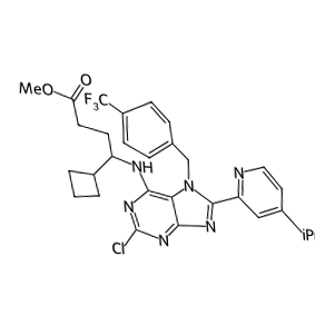 COC(=O)CCC(Nc1nc(Cl)nc2nc(-c3cc(C(C)C)ccn3)n(Cc3ccc(C(F)(F)F)cc3)c12)C1CCC1